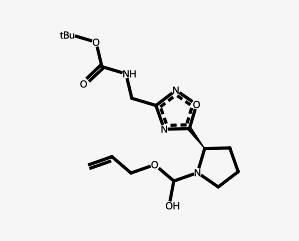 C=CCOC(O)N1CCC[C@@H]1c1nc(CNC(=O)OC(C)(C)C)no1